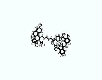 C[C@]12C[C@H](CCCCCC(=O)N3CCN(C(=O)c4cc(Cc5n[nH]c(=O)c6ccccc56)ccc4F)CC3)C3=C4CCC(=O)C=C4CC[C@H]3[C@@H]1CCC2O